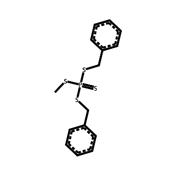 CSP(=S)(SCc1ccccc1)SCc1ccccc1